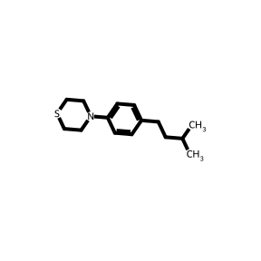 CC(C)CCc1ccc(N2CCSCC2)cc1